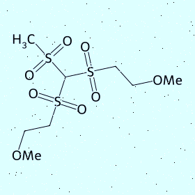 COCCS(=O)(=O)C(S(C)(=O)=O)S(=O)(=O)CCOC